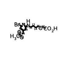 CS(=O)(=O)Cc1cc(Br)nc(NCCCCOCC(=O)O)c1